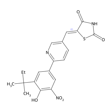 CCC(C)(C)c1cc(-c2ccc(/C=C3\SC(=O)NC3=O)cn2)cc([N+](=O)[O-])c1O